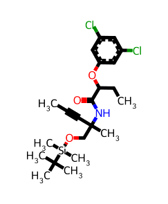 CC#CC(C)(CO[Si](C)(C)C(C)(C)C)NC(=O)C(CC)Oc1cc(Cl)cc(Cl)c1